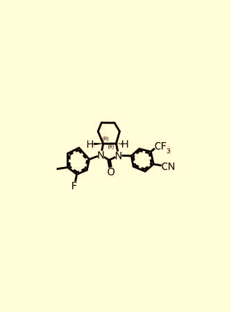 Cc1ccc(N2C(=O)N(c3ccc(C#N)c(C(F)(F)F)c3)[C@@H]3CCCC[C@H]32)cc1F